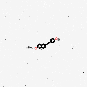 CCCCCCCOc1ccc2cc(C#Cc3ccc(OCC)cc3)ccc2c1